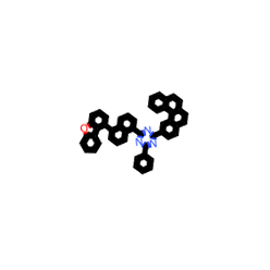 c1ccc(-c2nc(-c3ccc4ccc5ccc6ccccc6c5c4c3)nc(-c3cccc4c(-c5cccc6oc7ccccc7c56)cccc34)n2)cc1